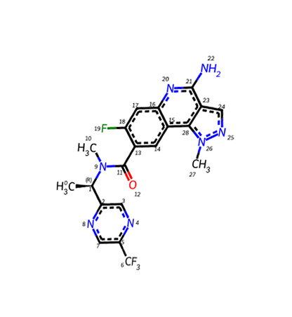 C[C@H](c1cnc(C(F)(F)F)cn1)N(C)C(=O)c1cc2c(cc1F)nc(N)c1cnn(C)c12